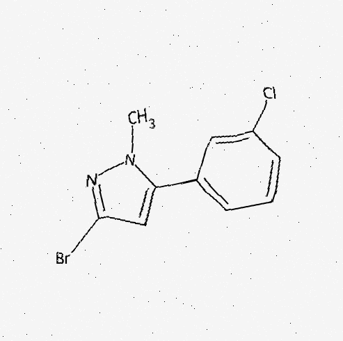 Cn1nc(Br)cc1-c1cccc(Cl)c1